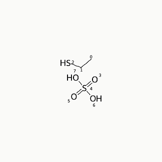 CCS.O=S(=O)(O)O